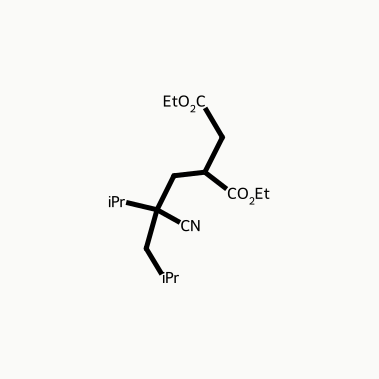 CCOC(=O)CC(CC(C#N)(CC(C)C)C(C)C)C(=O)OCC